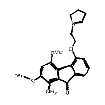 CCCOc1cc(OC)c2c(c1N)C(=O)c1cccc(OCCN3CCCC3)c1-2